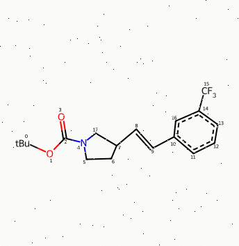 CC(C)(C)OC(=O)N1CCC(C=Cc2cccc(C(F)(F)F)c2)C1